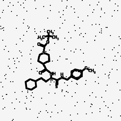 COc1ccc(CNC(=S)[C@@H](CCC2CCCCC2)NC(=O)C2CCN(C(=O)OC(C)(C)C)CC2)cc1